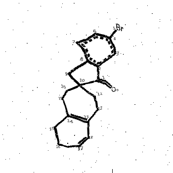 O=C1c2cc(Br)ccc2CC12CCC1=C(CCC=C1)CC2